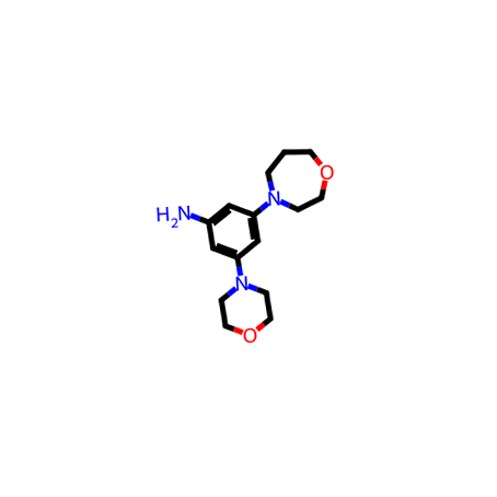 Nc1cc(N2CCCOCC2)cc(N2CCOCC2)c1